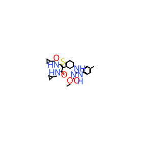 CCOC(=O)N=C(Nc1ccc(C)cc1)NC1CCc2sc(NC(=O)C3CC3)c(C(=O)NCC3CC3)c2C1